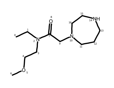 CCN(CCOC)C(=O)CN1CCCNCC1